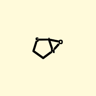 C1CN2O[C]2S1